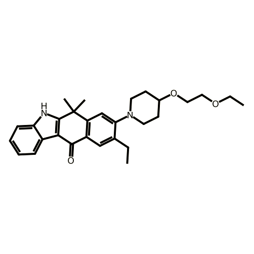 CCOCCOC1CCN(c2cc3c(cc2CC)C(=O)c2c([nH]c4ccccc24)C3(C)C)CC1